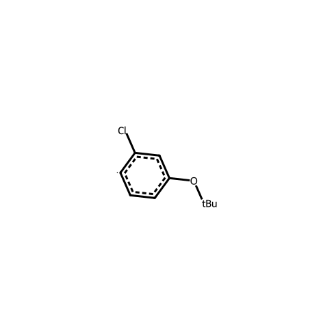 CC(C)(C)Oc1cc[c]c(Cl)c1